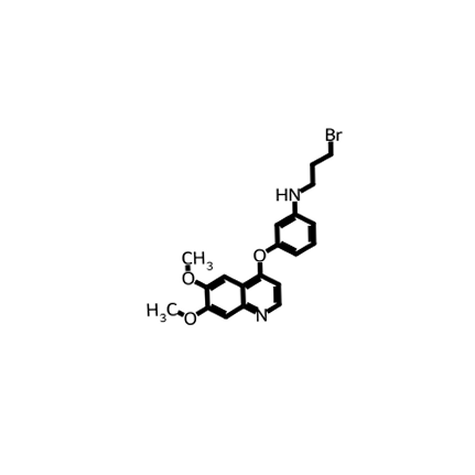 COc1cc2nccc(Oc3cccc(NCCCBr)c3)c2cc1OC